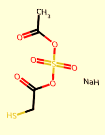 CC(=O)OS(=O)(=O)OC(=O)CS.[NaH]